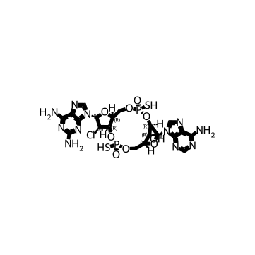 Nc1nc(N)c2ncn([C@@H]3O[C@@H]4COP(=O)(S)O[C@@H]5[C@H](O)[C@@H](COP(=O)(S)O[C@H]4[C@H]3Cl)O[C@H]5n3cnc4c(N)ncnc43)c2n1